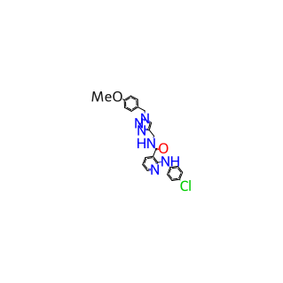 COc1ccc(Cn2cc(CNC(=O)c3cccnc3Nc3ccc(Cl)cc3)nn2)cc1